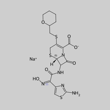 Nc1nc(/C(=N/O)C(=O)NC2C(=O)N3C(C(=O)[O-])=C(SCC4CCCCO4)CS[C@@H]23)cs1.[Na+]